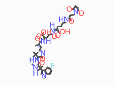 CN[C@H](C(=O)NC(C(=O)N(C)C/C=C(\C)C(=O)N[C@H](CCC(=O)N[C@@H](CCCCNC(=O)CCN1C(=O)C=CC1=O)C(=O)O)C(=O)O)C(C)(C)C)C(C)(C)c1cn(C)c2ccc(F)cc12